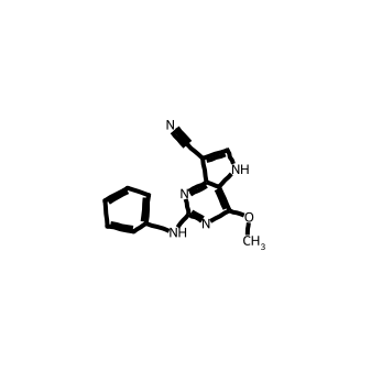 COc1nc(Nc2ccccc2)nc2c(C#N)c[nH]c12